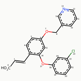 O=C(O)C=Cc1ccc(OCc2cccnc2)cc1Oc1cccc(Cl)c1